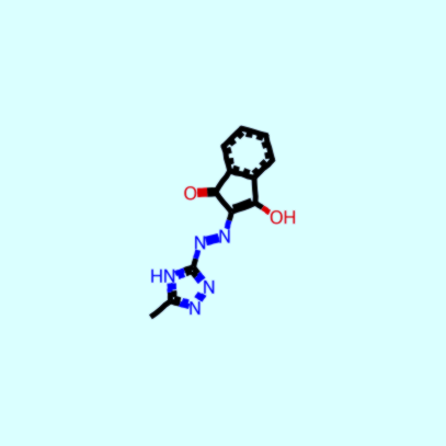 Cc1nnc(N=NC2=C(O)c3ccccc3C2=O)[nH]1